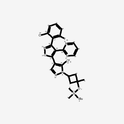 CC1(O[Si](C)(C)C(C)(C)C)CC(n2ncc(-c3onc(-c4c(F)cccc4Cl)c3-c3ncccn3)c2C(F)(F)F)C1